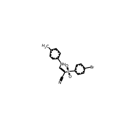 Cc1ccc(N/C=C(/C#N)S(=O)(=O)c2ccc(Br)cc2)cc1